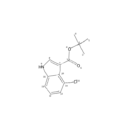 CC(C)(C)OC(=O)c1c[nH]c2cccc(Cl)c12